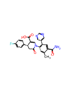 Cc1cc(N2C=C(C(=O)O)[C@H](c3ccc(F)cc3)CC2=O)c(-c2cncnc2)cc1C(N)=O